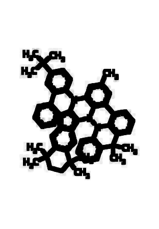 Cc1cc2c3c(c1)N(c1ccc(C(C)(C)C)cc1-c1ccccc1)c1sc4cc5c(cc4c1B3N1c3ccccc3C(C)(C)c3cccc-2c31)C(C)(C)CCC5(C)C